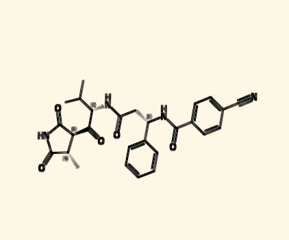 CC(C)[C@H](NC(=O)C[C@H](NC(=O)c1ccc(C#N)cc1)c1ccccc1)C(=O)[C@@H]1C(=O)NC(=O)[C@H]1C